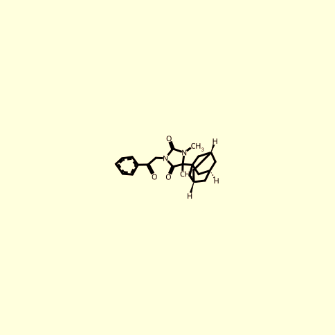 CN1C(=O)N(CC(=O)c2ccccc2)C(=O)C1(C)C12C[C@H]3C[C@@H](C1)C[C@@H](C2)C3